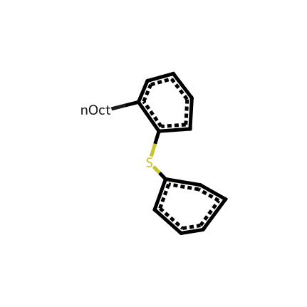 CCCCCCCCc1ccccc1Sc1ccccc1